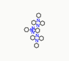 c1ccc(N2c3ccccc3N(c3ccc(N4c5ccccc5N(c5ccccc5)c5ccccc54)c4nn(-c5ccccc5)nc34)c3ccccc32)cc1